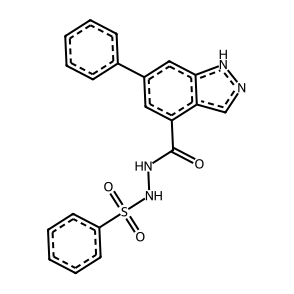 O=C(NNS(=O)(=O)c1ccccc1)c1cc(-c2ccccc2)cc2[nH]ncc12